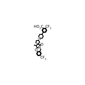 CC1C2Oc3ccc(C(F)(F)F)cc3CN2C(=O)[C@]12CC[C@@H](N1CCC(c3ccc(C(F)(F)F)c(C(=O)O)c3)CC1)C2